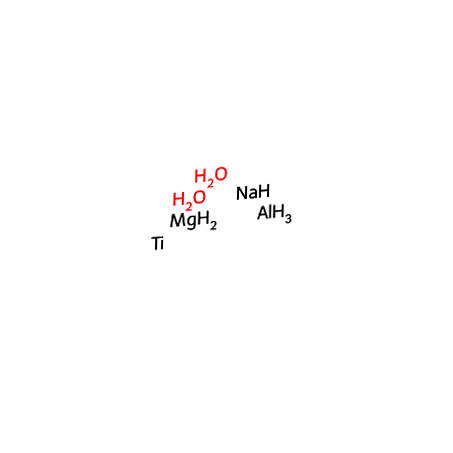 O.O.[AlH3].[MgH2].[NaH].[Ti]